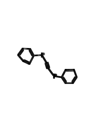 C(#C[I+]c1ccccc1)[I+]c1ccccc1